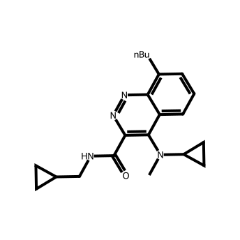 CCCCc1cccc2c(N(C)C3CC3)c(C(=O)NCC3CC3)nnc12